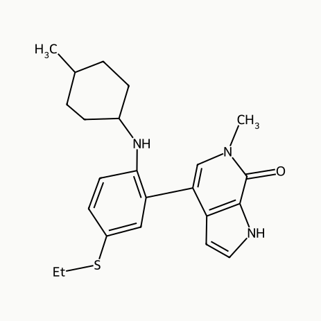 CCSc1ccc(NC2CCC(C)CC2)c(-c2cn(C)c(=O)c3[nH]ccc23)c1